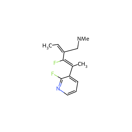 C/C=C(CNC)\C(F)=C(/C)c1cccnc1F